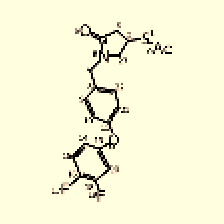 CC(=O)SC1CC(=O)N(Cc2ccc(Oc3ccc(F)c(F)c3)cc2)C1